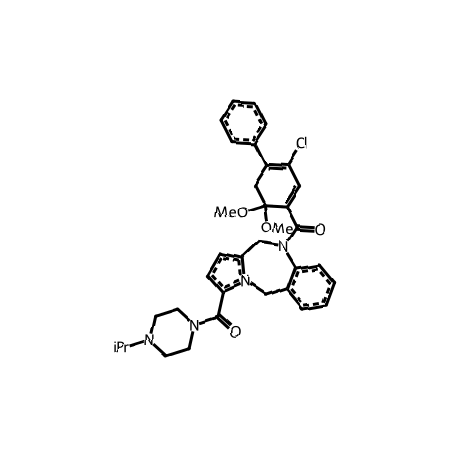 COC1(OC)CC(c2ccccc2)=C(Cl)C=C1C(=O)N1Cc2ccc(C(=O)N3CCN(C(C)C)CC3)n2Cc2ccccc21